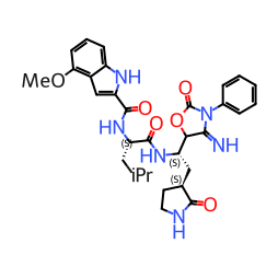 COc1cccc2[nH]c(C(=O)N[C@@H](CC(C)C)C(=O)N[C@@H](C[C@@H]3CCNC3=O)C3OC(=O)N(c4ccccc4)C3=N)cc12